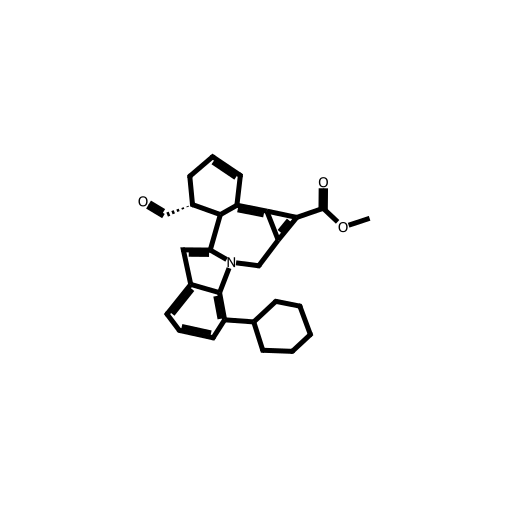 COC(=O)C1=C2Cn3c(cc4cccc(C5CCCCC5)c43)C3C(=C21)C=CC[C@H]3C=O